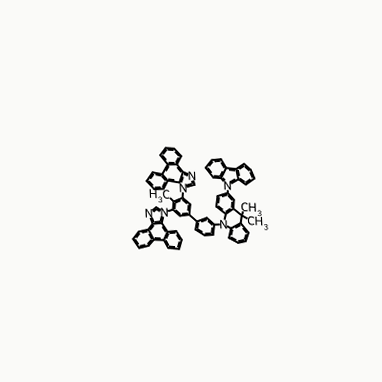 Cc1c(-n2cnc3c4ccccc4c4ccccc4c32)cc(-c2cccc(N3c4ccccc4C(C)(C)c4cc(-n5c6ccccc6c6ccccc65)ccc43)c2)cc1-n1cnc2c3ccccc3c3ccccc3c21